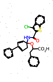 O=C(NC1(OC(Cc2ccccc2)C(=O)O)C=CC(c2ccccc2)=CC1)c1sc2ccccc2c1Cl